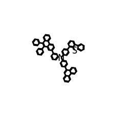 c1ccc(-c2c(-c3ccccc3)c3cc(-c4cccc(N(c5ccc(-c6cc7ccccc7c7ccccc67)cc5)c5ccc(-c6cccc7c6sc6ccccc67)cc5)c4)ccc3c3ccccc23)cc1